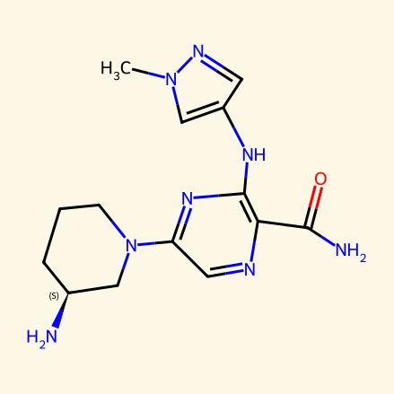 Cn1cc(Nc2nc(N3CCC[C@H](N)C3)cnc2C(N)=O)cn1